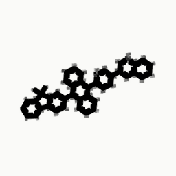 CC1(C)c2ccccc2-c2ccc(-c3c4ccccc4c(-c4ccc(-c5cnc6ccccc6c5)cn4)c4ccccc34)cc21